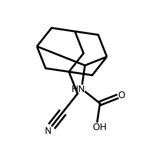 N#CCC12CC3CC(C1)C(NC(=O)O)C(C3)C2